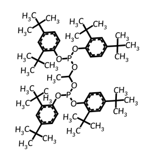 CC(OP(Oc1ccc(C(C)(C)C)cc1C(C)(C)C)Oc1ccc(C(C)(C)C)cc1C(C)(C)C)OP(Oc1ccc(C(C)(C)C)cc1C(C)(C)C)Oc1ccc(C(C)(C)C)cc1C(C)(C)C